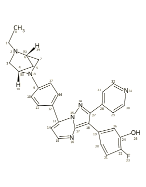 CCN1C[C@@H]2C[C@H]1CN2c1ccc(-c2ccnc3c(-c4ccc(F)c(O)c4)c(-c4ccncc4)nn23)cc1